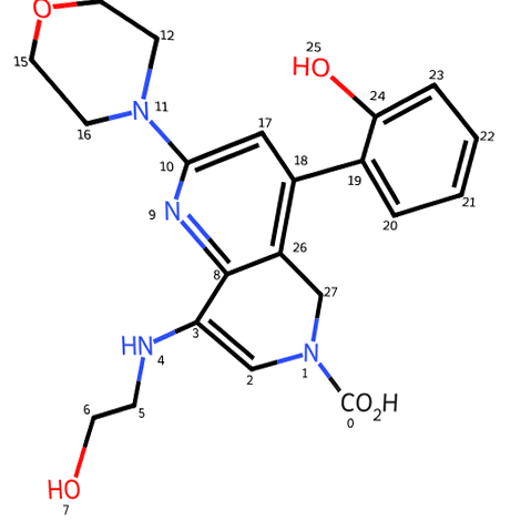 O=C(O)N1C=C(NCCO)c2nc(N3CCOCC3)cc(-c3ccccc3O)c2C1